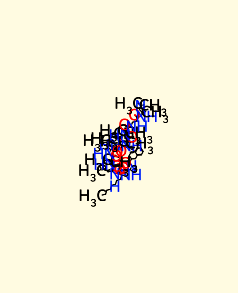 CCCCCCCCC(NC(=O)[C@@H]1CCCN1C(=O)C1CCc2ccccc2C1)C(=O)NC(CC(C)C)C(=O)NC(C)(C)C(=O)NC(CC(C)C)C(=O)NC(CC(C)C)C(=O)NC(C)(C)C(=O)NC(C)(C)C(=O)NCCC(=O)NC(C)CN(C)C